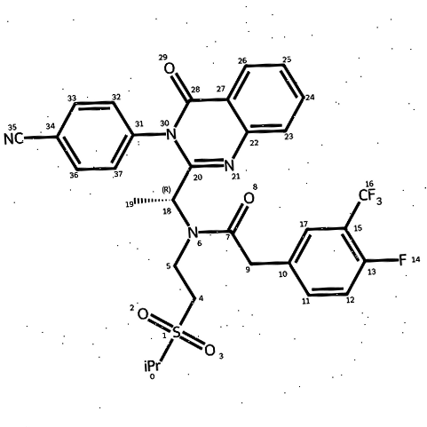 CC(C)S(=O)(=O)CCN(C(=O)Cc1ccc(F)c(C(F)(F)F)c1)[C@H](C)c1nc2ccccc2c(=O)n1-c1ccc(C#N)cc1